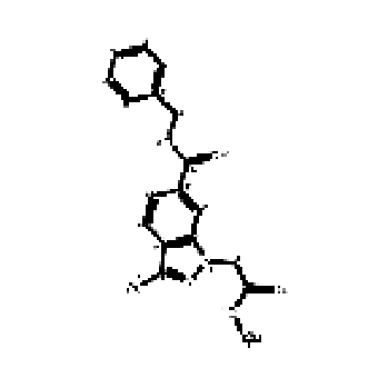 CC(=O)c1nn(CC(=O)OC(C)(C)C)c2cc(C(=O)OCc3ccccc3)ccc12